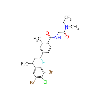 CN(CC(F)(F)F)C(=O)CNC(=O)c1ccc(C(F)=CC(c2cc(Br)c(Cl)c(Br)c2)C(F)(F)F)cc1C(F)(F)F